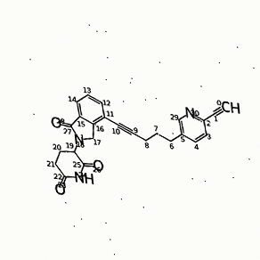 C#Cc1ccc(CCCC#Cc2cccc3c2CN(C2CCC(=O)NC2=O)C3=O)cn1